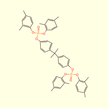 Cc1ccc(OP(=O)(Oc2ccc(C(C)(C)c3ccc(OP(=O)(Oc4ccc(C)cc4C)Oc4ccc(C)cc4C)cc3)cc2)Oc2ccc(C)cc2C)c(C)c1